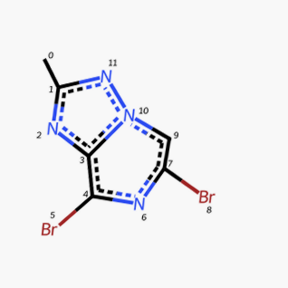 Cc1nc2c(Br)nc(Br)cn2n1